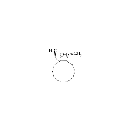 C=CC1CCCCCCCCC1(O)C=C